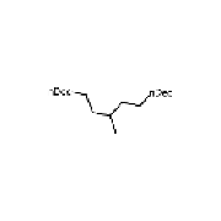 CCCCCCCCCCCC[C](C)CCCCCCCCCCCC